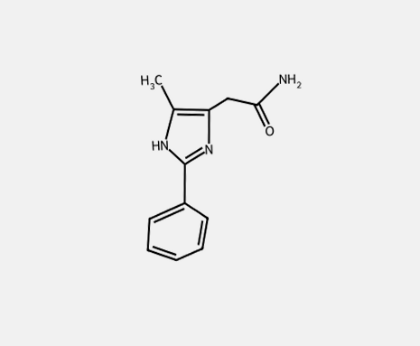 Cc1[nH]c(-c2ccccc2)nc1CC(N)=O